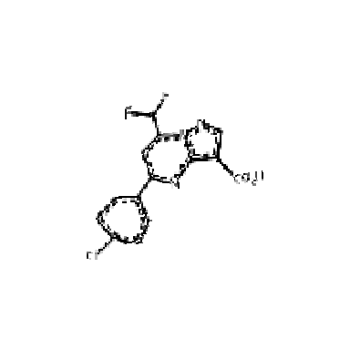 O=C(O)c1cnn2c(C(F)F)cc(-c3ccc(Cl)cc3)nc12